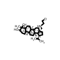 C=C(C)[C@@H]1CC[C@]2(CNCCCl)CC[C@]3(C)[C@H](CC[C@@H]4[C@@]5(C)CC[C@H](O)C(C)(C)[C@@H]5CC[C@]43C)[C@@H]12